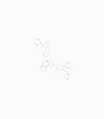 c1ccc(-n2c3ccccc3c3cc(-c4ccc5c(-c6ccc(-c7cccc8c7oc7ccccc78)cc6)cc6ccccc6c5c4)ccc32)cc1